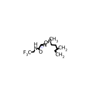 C=CC(=C)CCN(C)O/N=C/C(=O)NCC(F)(F)F